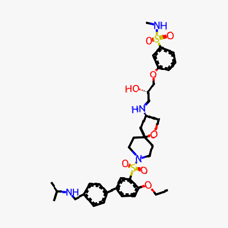 CCOc1ccc(-c2ccc(CNC(C)C)cc2)cc1S(=O)(=O)N1CCC2(CC1)C[C@H](NC[C@H](O)COc1cccc(S(=O)(=O)NC)c1)CO2